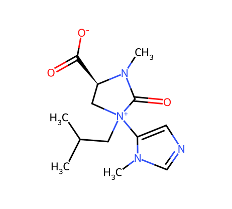 CC(C)C[N+]1(c2cncn2C)C[C@@H](C(=O)[O-])N(C)C1=O